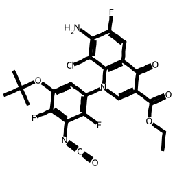 CCOC(=O)c1cn(-c2cc(OC(C)(C)C)c(F)c(N=C=O)c2F)c2c(Cl)c(N)c(F)cc2c1=O